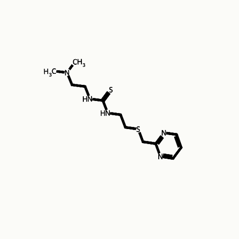 CN(C)CCNC(=S)NCCSCc1ncccn1